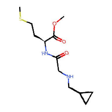 COC(=O)[C@H](CCSC)NC(=O)CNCC1CC1